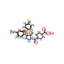 O=C(O)C1CCC(C(=O)N2CC[C@](c3ccc(Br)c(F)c3)(S(=O)(=O)c3ccc(F)cc3)C2)CC1